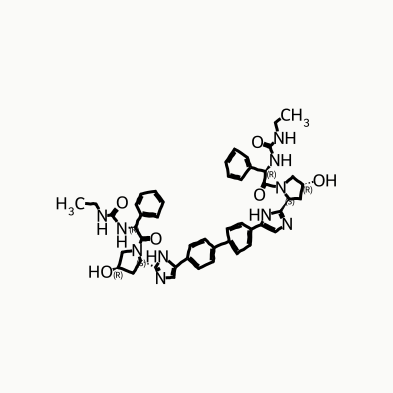 CCNC(=O)N[C@@H](C(=O)N1C[C@H](O)C[C@H]1c1ncc(-c2ccc(-c3ccc(-c4cnc([C@@H]5C[C@@H](O)CN5C(=O)[C@H](NC(=O)NCC)c5ccccc5)[nH]4)cc3)cc2)[nH]1)c1ccccc1